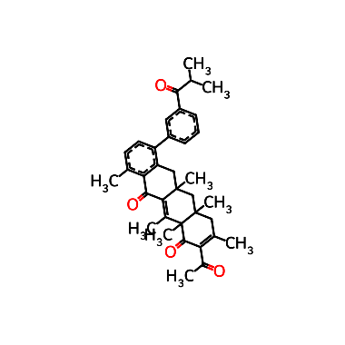 CC(=O)C1=C(C)CC2(C)CC3(C)Cc4c(-c5cccc(C(=O)C(C)C)c5)ccc(C)c4C(=O)C3=C(C)C2(C)C1=O